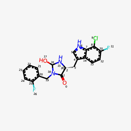 O=C1[C@@H](Cc2c[nH]c3c(Cl)c(F)ccc23)NC(O)N1Cc1ccccc1F